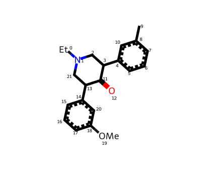 CCN1CC(c2cccc(C)c2)C(=O)C(c2cccc(OC)c2)C1